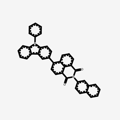 O=C1c2cccc3c(-c4ccc5c(c4)c4ccccc4n5-c4ccccc4)ccc(c23)C(=O)N1c1ccc2ccccc2c1